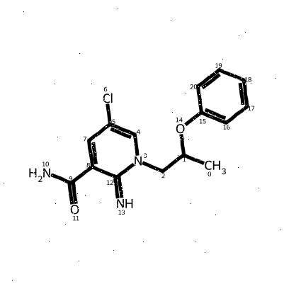 CC(Cn1cc(Cl)cc(C(N)=O)c1=N)Oc1ccccc1